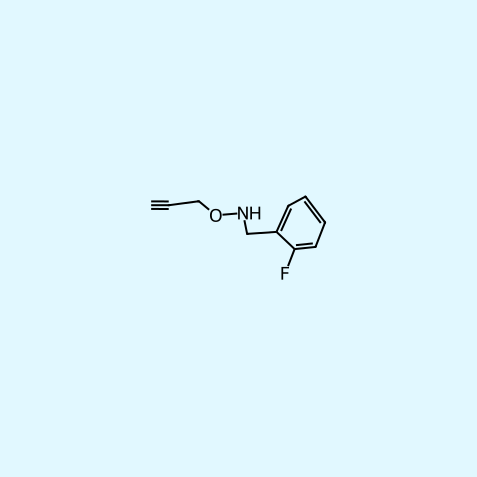 C#CCONCc1ccccc1F